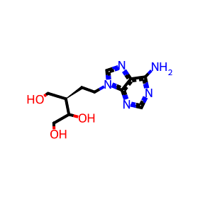 Nc1ncnc2c1ncn2CC[C@H](CO)C(O)CO